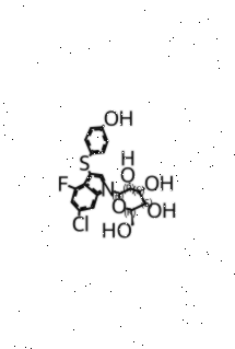 OC[C@H]1O[C@@H](n2cc(Sc3ccc(O)cc3)c3c(F)cc(Cl)cc32)[C@H](O)[C@@H](O)[C@@H]1O